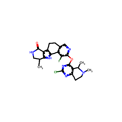 CC1CNC(=O)c2c1[nH]c1c2CCc2cnc(Oc3nc(Cl)nc4c3C(C)N(C)CC4)c(F)c2-1